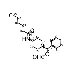 O=COC(c1ccccc1)N1CCC(NC(=O)CCCCCl)CC1